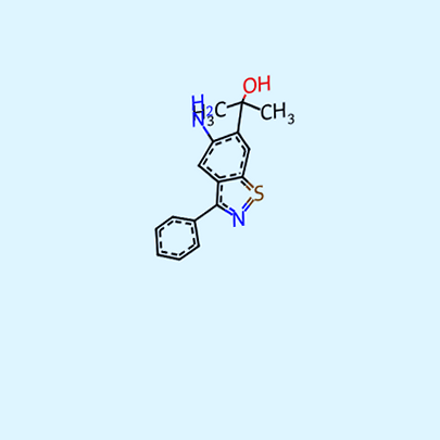 CC(C)(O)c1cc2snc(-c3ccccc3)c2cc1N